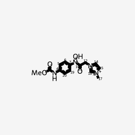 COC(=O)Nc1ccc(N(O)C(=O)Cn2cc[n+](C)c2)cc1